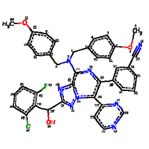 COc1ccc(CN(Cc2ccc(OC)cc2)c2nc(-c3cccc(C#N)c3)c(-c3ccncn3)n3nc(C(O)c4c(F)cccc4Cl)nc23)cc1